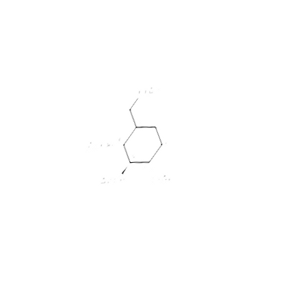 CC(=O)OCC1CC[C@H](OC(C)=O)[C@@H](OC(C)=O)[C@@H]1OC(C)=O